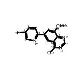 COc1cc(-c2ccc(F)cn2)cc2c(Cl)ncnc12